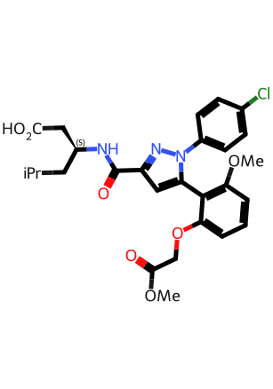 COC(=O)COc1cccc(OC)c1-c1cc(C(=O)N[C@H](CC(=O)O)CC(C)C)nn1-c1ccc(Cl)cc1